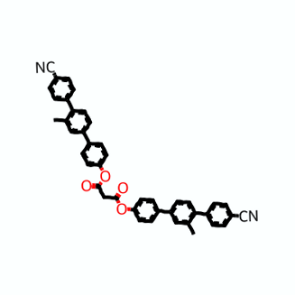 Cc1cc(-c2ccc(OC(=O)CC(=O)Oc3ccc(-c4ccc(-c5ccc(C#N)cc5)c(C)c4)cc3)cc2)ccc1-c1ccc(C#N)cc1